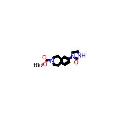 CC(C)(C)OC(=O)N1CCc2ccc(N3CCNC3=O)cc2CC1